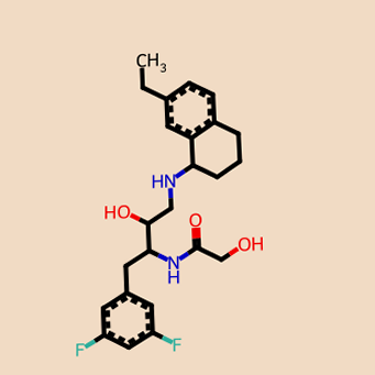 CCc1ccc2c(c1)C(NCC(O)C(Cc1cc(F)cc(F)c1)NC(=O)CO)CCC2